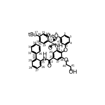 COc1cccc(Oc2c(NS(=O)(=O)c3ccc(C(C)(C)C)cc3)cc(C(=O)Nc3ccccc3-c3ccccc3)cc2OCCO)c1